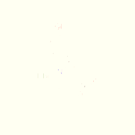 Br.CCOC(=O)c1sc(-c2ccc(O)cc2)nc1C